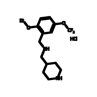 CCOc1ccc(OC(F)(F)F)cc1CNCC1CCNCC1.Cl